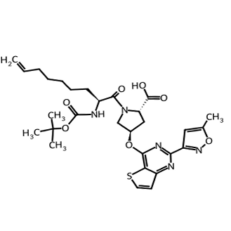 C=CCCCCC[C@H](NC(=O)OC(C)(C)C)C(=O)N1C[C@H](Oc2nc(-c3cc(C)on3)nc3ccsc23)C[C@H]1C(=O)O